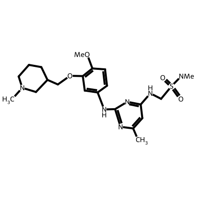 CNS(=O)(=O)CNc1cc(C)nc(Nc2ccc(OC)c(OCC3CCCN(C)C3)c2)n1